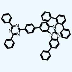 c1ccc(-c2ccc3nc4n(-c5c(-c6ccccc6)cccc5-c5ccccc5)c5ccc(-c6ccc(-c7nc(-c8ccccc8)nc(-c8ccccc8)n7)cc6)cc5n4c3c2)cc1